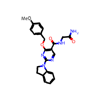 COc1ccc(COc2nc(N3CCc4ccccc43)ncc2C(=O)NCC(N)=O)cc1